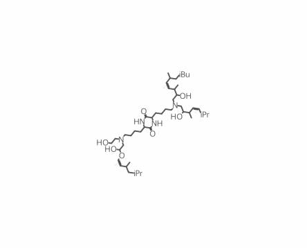 CCC(C)CC(C)/C=C\C(C)C(O)CN(CCCCC1NC(=O)C(CCCCN(CCO)CC(O)O/C=C\C(C)CC(C)C)NC1=O)CC(O)C(C)/C=C\C(C)C